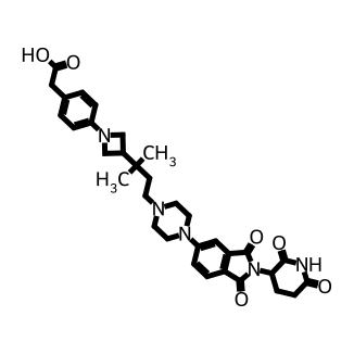 CC(C)(CCN1CCN(c2ccc3c(c2)C(=O)N(C2CCC(=O)NC2=O)C3=O)CC1)C1CN(c2ccc(CC(=O)O)cc2)C1